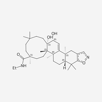 CCNC(=O)[C@@]1(C)CCC(C)(C)CC[C@@]2(O)[C@H](O)C=C3[C@@]4(C)Cc5cnoc5C(C)(C)[C@@H]4CC[C@@]3(C)[C@]2(C)CC1